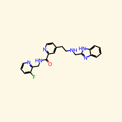 O=C(NCc1ncccc1F)c1cc(CCNCc2nc3ccccc3[nH]2)ccn1